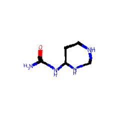 NC(=O)NC1CCNCN1